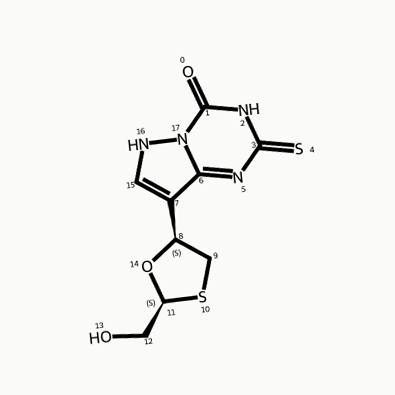 O=c1[nH]c(=S)nc2c([C@H]3CS[C@@H](CO)O3)c[nH]n12